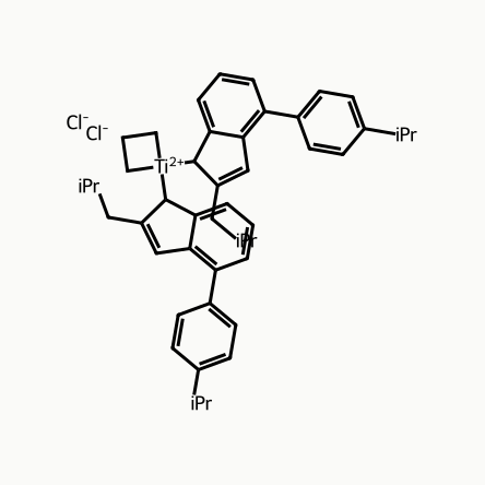 CC(C)CC1=Cc2c(-c3ccc(C(C)C)cc3)cccc2[CH]1[Ti+2]1([CH]2C(CC(C)C)=Cc3c(-c4ccc(C(C)C)cc4)cccc32)[CH2]C[CH2]1.[Cl-].[Cl-]